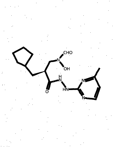 Cc1ccnc(NNC(=O)[C@@H](CC2CCCC2)CN(O)C=O)n1